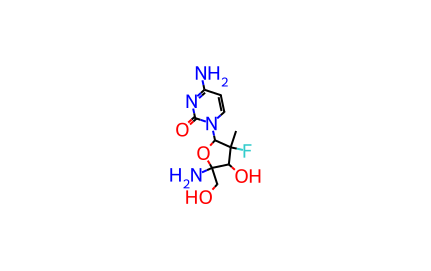 CC1(F)C(n2ccc(N)nc2=O)OC(N)(CO)C1O